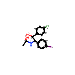 CC(O)NC(c1ccc(I)cc1)C(O)c1ccc(Cl)cc1